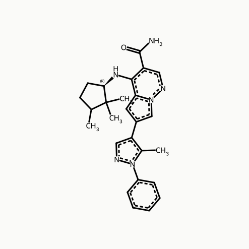 Cc1c(-c2cc3c(N[C@@H]4CCC(C)C4(C)C)c(C(N)=O)cnn3c2)cnn1-c1ccccc1